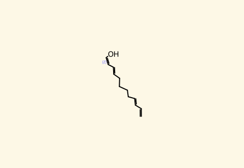 C=CC=CCCCCC=C/C=C\O